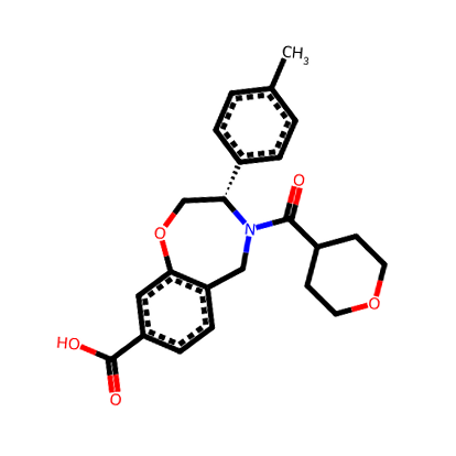 Cc1ccc([C@H]2COc3cc(C(=O)O)ccc3CN2C(=O)C2CCOCC2)cc1